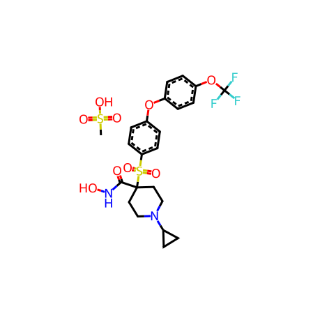 CS(=O)(=O)O.O=C(NO)C1(S(=O)(=O)c2ccc(Oc3ccc(OC(F)(F)F)cc3)cc2)CCN(C2CC2)CC1